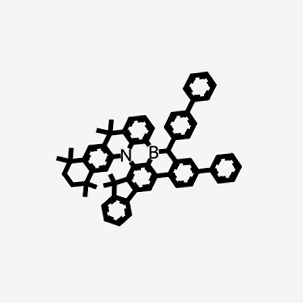 CC1(C)CCC(C)(C)c2cc3c(cc21)N1c2c(cccc2C3(C)C)B2c3c(cc4c(c31)C(C)(C)c1ccccc1-4)-c1ccc(-c3ccccc3)cc1C2c1ccc(-c2ccccc2)cc1